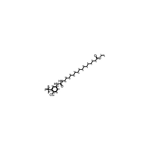 CCOC(=O)CCCCCCCCCCCCCCCNC(=O)Nc1ccc(Cl)c(C(F)(F)F)c1